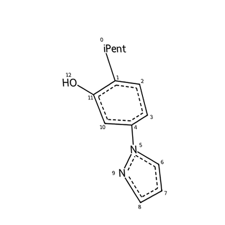 CCCC(C)c1ccc(-n2cccn2)cc1O